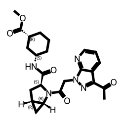 COC(=O)[C@@H]1CCC[C@H](NC(=O)[C@@H]2C[C@H]3C[C@H]3N2C(=O)Cn2nc(C(C)=O)c3cccnc32)C1